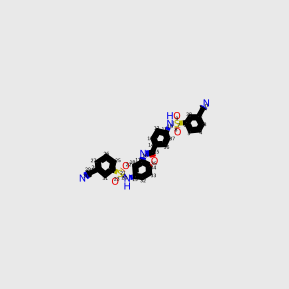 N#Cc1cccc(S(=O)(=O)Nc2ccc(-c3nc4cc(NS(=O)(=O)c5cccc(C#N)c5)ccc4o3)cc2)c1